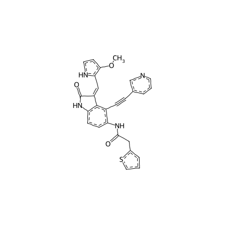 COc1cc[nH]c1/C=C1\C(=O)Nc2ccc(NC(=O)Cc3cccs3)c(C#Cc3cccnc3)c21